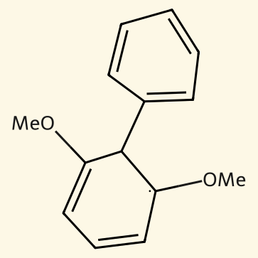 CO[C]1C=CC=C(OC)C1c1ccccc1